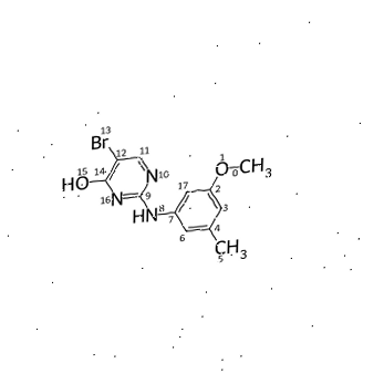 COc1cc(C)cc(Nc2ncc(Br)c(O)n2)c1